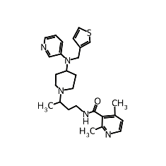 Cc1ccnc(C)c1C(=O)NCCC(C)N1CCC(N(Cc2ccsc2)c2cccnc2)CC1